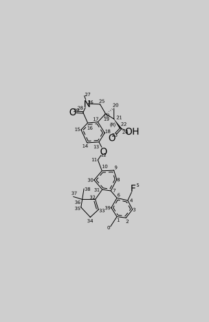 Cc1ccc(F)c(-c2ccc(COc3ccc4c(c3)[C@@]3(C[C@H]3C(=O)O)CN(C)C4=O)cc2C2=CCCC2(C)C)c1